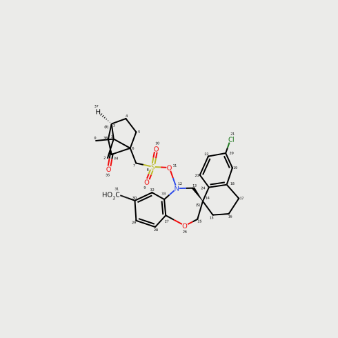 CC1(C)[C@@H]2CCC1(CS(=O)(=O)ON1C[C@@]3(CCCc4cc(Cl)ccc43)COc3ccc(C(=O)O)cc31)C(=O)C2